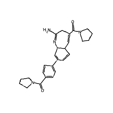 NC1=NC2C=C(c3ccc(C(=O)N4CCCC4)cc3)C=CC2C=C(C(=O)N2CCCC2)C1